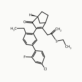 C=C(CC1=C(c2cc(-c3ccc(Cl)cc3F)ccc2CC)C(=O)[C@@H]2CCC1C2)SCC